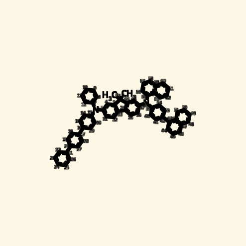 CC1(C)c2cc(N(c3ccccc3)c3ccc(-c4ccc(-c5ccccc5)cc4)cc3)ccc2-c2ccc(N(c3ccc(-c4cccc5ccccc45)cc3)c3cccc4ccccc34)cc21